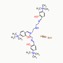 Br.Br.Br.C[N+](C)(C)c1ccc(C=NCCNCC[N+](=Cc2ccc([N+](C)(C)C)cc2O)CCN=Cc2ccc([N+](C)(C)C)cc2O)c(O)c1